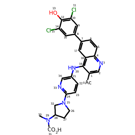 CC(=O)c1cnc2ccc(-c3cc(Cl)c(O)c(Cl)c3)cc2c1Nc1ccc(N2CCC(N(C)C(=O)O)C2)nc1